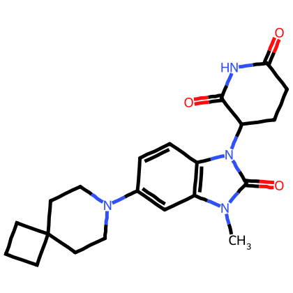 Cn1c(=O)n(C2CCC(=O)NC2=O)c2ccc(N3CCC4(CCC4)CC3)cc21